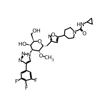 CO[C@@H]1[C@@H](n2cc(-c3cc(F)c(F)c(F)c3)nn2)[C@@H](O)[C@@H](CO)O[C@@H]1Cc1cc(C2CCN(C(=O)NC3CC3)CC2)on1